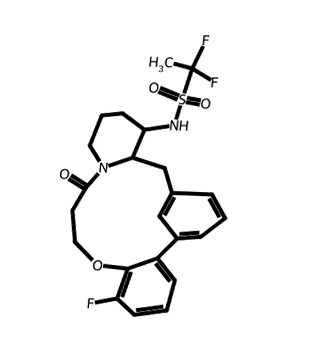 CC(F)(F)S(=O)(=O)NC1CCCN2C(=O)CCOc3c(F)cccc3-c3cccc(c3)CC12